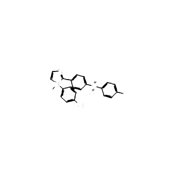 C[N+]1(c2ccc(Cl)cc2)C=CN=C1c1ccc(S(=O)(=O)c2ccc(F)cc2)cc1